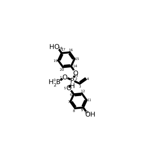 BO[PH](C=C)(Oc1ccc(O)cc1)Oc1ccc(O)cc1